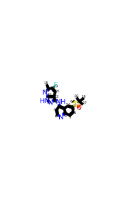 C=S(=O)(c1ccc2nccc(Nc3n[nH]c4nc(C)c(F)cc34)c2c1)C(C)(C)C